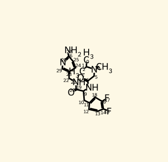 CC(C)N(C)CC(=O)NC(Cc1ccc(F)c(F)c1)C(=O)NCc1ccc(N)nc1